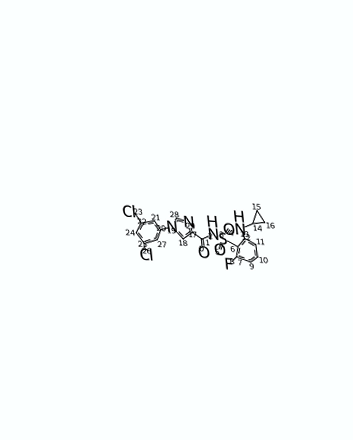 O=C(NS(=O)(=O)c1c(F)cccc1NC1CC1)c1cn(-c2cc(Cl)cc(Cl)c2)cn1